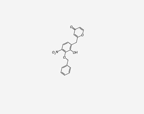 O=c1ccoc(Cc2ccc([N+](=O)[O-])c(OCc3ccccc3)c2O)c1